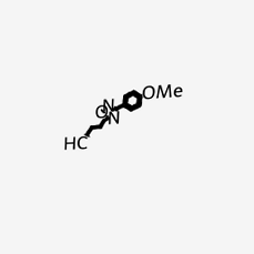 C#CCCc1nc(-c2ccc(OC)cc2)no1